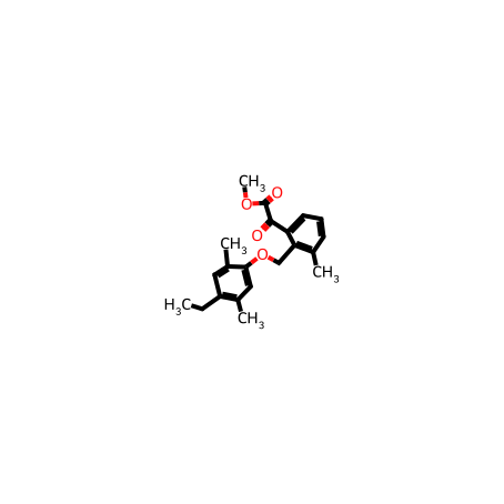 CCc1cc(C)c(OCc2c(C)cccc2C(=O)C(=O)OC)cc1C